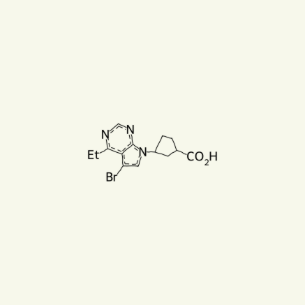 CCc1ncnc2c1c(Br)cn2C1CCC(C(=O)O)C1